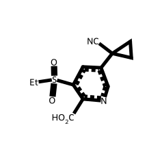 CCS(=O)(=O)c1cc(C2(C#N)CC2)cnc1C(=O)O